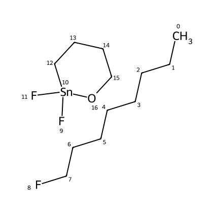 CCCCCCCCF.[F][Sn]1([F])[CH2]CCC[O]1